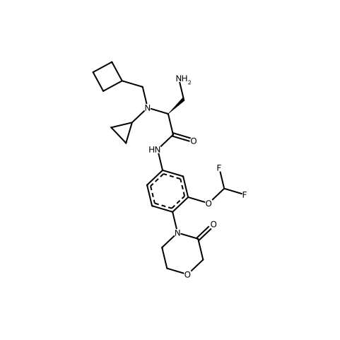 NC[C@@H](C(=O)Nc1ccc(N2CCOCC2=O)c(OC(F)F)c1)N(CC1CCC1)C1CC1